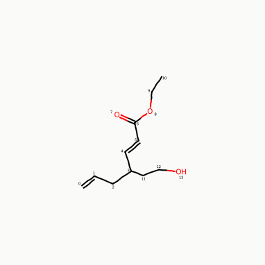 C=CCC(C=CC(=O)OCC)CCO